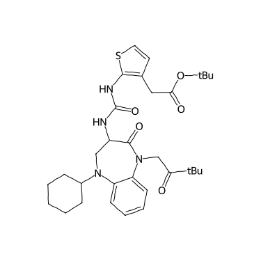 CC(C)(C)OC(=O)Cc1ccsc1NC(=O)NC1CN(C2CCCCC2)c2ccccc2N(CC(=O)C(C)(C)C)C1=O